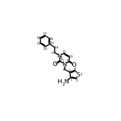 Nc1cscc1Cn1c(=O)ccn(CCc2ccccc2)c1=O